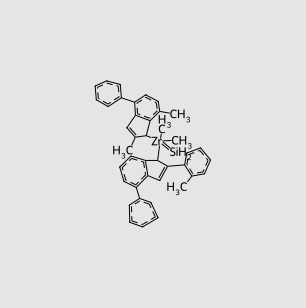 CC1=Cc2c(-c3ccccc3)ccc(C)c2[CH]1[Zr]([CH3])([CH3])(=[SiH2])[CH]1C(c2ccccc2C)=Cc2c(-c3ccccc3)cccc21